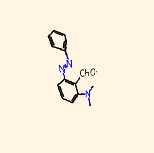 CN(C)c1cccc(N=Nc2ccccc2)c1[C]=O